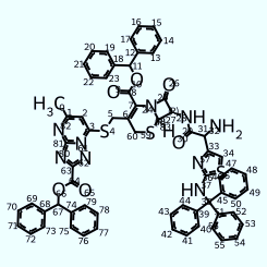 Cc1cc(SCC2=C(C(=O)OC(c3ccccc3)c3ccccc3)N3C(=O)[C@@H](NC(=O)C(N)c4csc(NC(c5ccccc5)(c5ccccc5)c5ccccc5)n4)[C@H]3SC2)n2nc(C(=O)OC(c3ccccc3)c3ccccc3)nc2n1